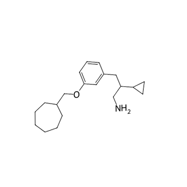 NCC(Cc1cccc(OCC2CCCCCC2)c1)C1CC1